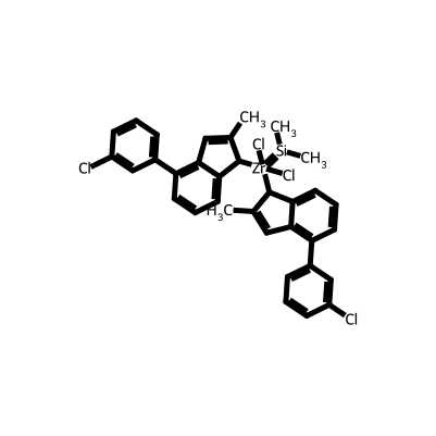 CC1=Cc2c(-c3cccc(Cl)c3)cccc2[CH]1[Zr]([Cl])([Cl])([CH]1C(C)=Cc2c(-c3cccc(Cl)c3)cccc21)=[Si](C)C